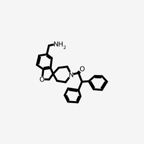 NCc1ccc2c(c1)C1(CCN(C(=O)C(c3ccccc3)c3ccccc3)CC1)CO2